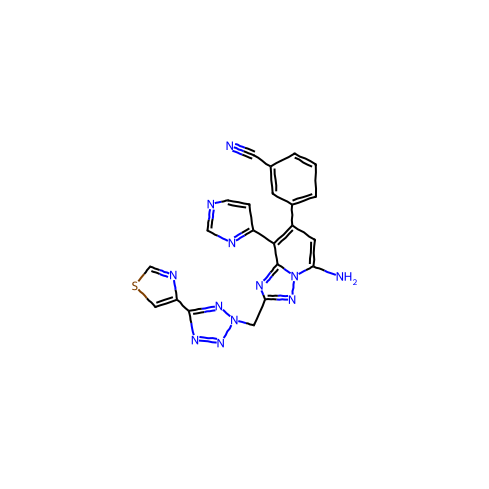 N#Cc1cccc(-c2cc(N)n3nc(Cn4nnc(-c5cscn5)n4)nc3c2-c2ccncn2)c1